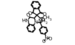 CC(N)C1(C2C(=O)Nc3ccccc3N2C(=O)c2ccc([N+](=O)[O-])cc2)C(=O)c2ccccc2C1=O